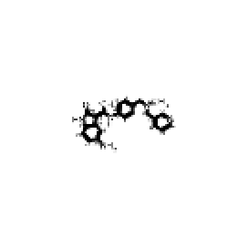 CC(Nc1ccc(CN(C)Cc2cccnc2)cc1)=C1C(=O)Nc2ccc(N)cc21